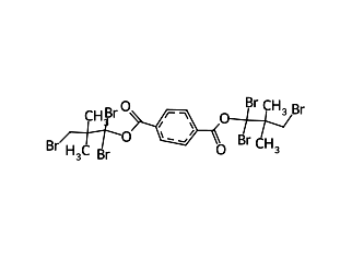 CC(C)(CBr)C(Br)(Br)OC(=O)c1ccc(C(=O)OC(Br)(Br)C(C)(C)CBr)cc1